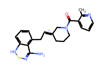 Cc1ncccc1C(=O)N1CCC/C(=C\Cc2cccc3c2C(N)=NSN3)C1